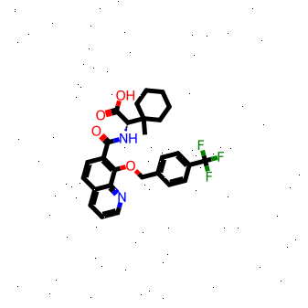 CC1([C@H](NC(=O)c2ccc3cccnc3c2OCc2ccc(C(F)(F)F)cc2)C(=O)O)CCCCC1